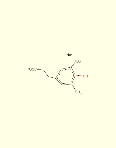 Cc1cc(CCC(=O)[O-])cc(C(C)(C)C)c1O.[Na+]